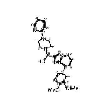 COc1ccc(-c2ccnc3cc(C(O)N4CCN(c5ccccn5)CC4)nn23)cc1OC